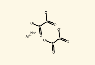 O=S([O-])S(=O)[O-].O=S([O-])S(=O)[O-].[Al+3].[Na+]